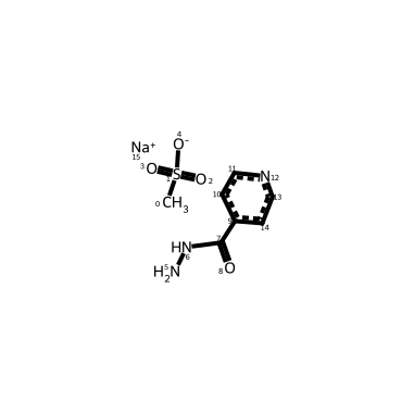 CS(=O)(=O)[O-].NNC(=O)c1ccncc1.[Na+]